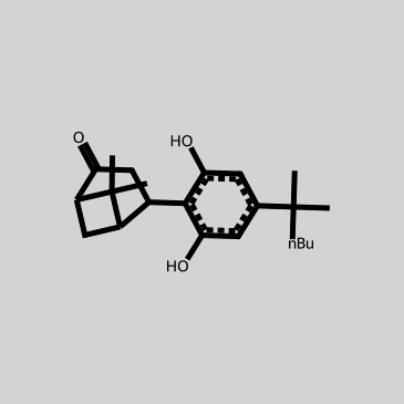 CCCCC(C)(C)c1cc(O)c(C2CC(=O)C3CC2C3(C)C)c(O)c1